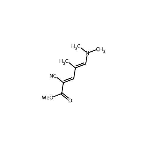 COC(=O)/C(C#N)=C/C(C)=C/N(C)C